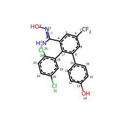 N/C(=N\O)c1cc(C(F)(F)F)cc(-c2ccc(O)cc2)c1-c1cc(Cl)ccc1Cl